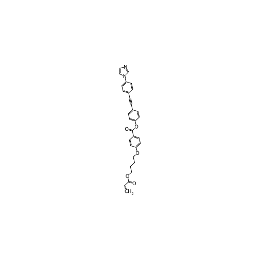 C=CC(=O)OCCCCOc1ccc(C(=O)Oc2ccc(C#Cc3ccc(-n4ccnc4)cc3)cc2)cc1